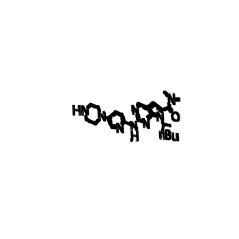 CCCCC(C)n1c(C(=O)N(C)C)cc2cnc(Nc3ccc(N4CCNCC4)cn3)nc21